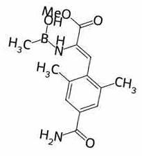 COC(=O)/C(=C/c1c(C)cc(C(N)=O)cc1C)NB(C)O